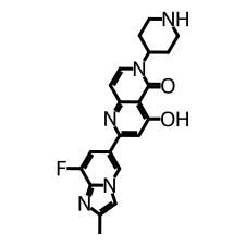 Cc1cn2cc(-c3cc(O)c4c(=O)n(C5CCNCC5)ccc4n3)cc(F)c2n1